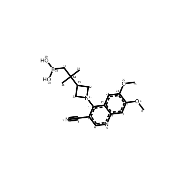 COc1cc2ncc(C#N)c(N3CC(C(C)(C)CB(O)O)C3)c2cc1OC